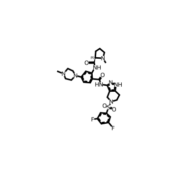 CN1CCN(c2ccc(C(=O)Nc3n[nH]c4c3CN(S(=O)(=O)c3cc(F)cc(F)c3)CC4)c(NC(=O)[C@H]3CCCN3C)c2)CC1